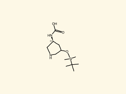 CC(C)(C)[Si](C)(C)OC1CNC[C@@H](NC(=O)O)C1